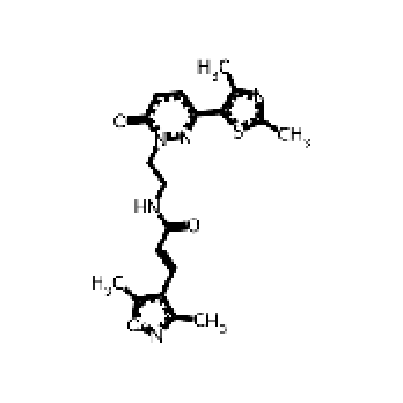 Cc1nc(C)c(-c2ccc(=O)n(CCNC(=O)C=Cc3c(C)noc3C)n2)s1